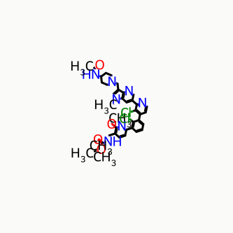 COc1nc(-c2cccc(-c3ccnc(-c4cnc5c(CN6CCC(NC(C)=O)CC6)cn(C)c5c4)c3Cl)c2Cl)ccc1CNC(=O)OC(C)(C)C